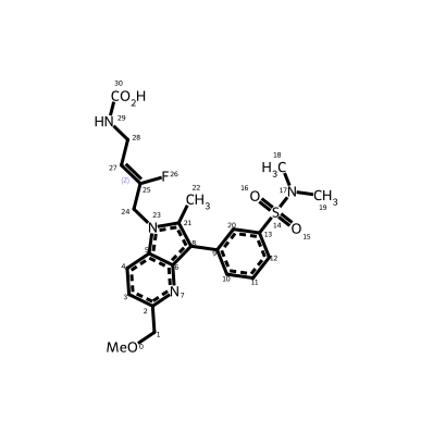 COCc1ccc2c(n1)c(-c1cccc(S(=O)(=O)N(C)C)c1)c(C)n2C/C(F)=C/CNC(=O)O